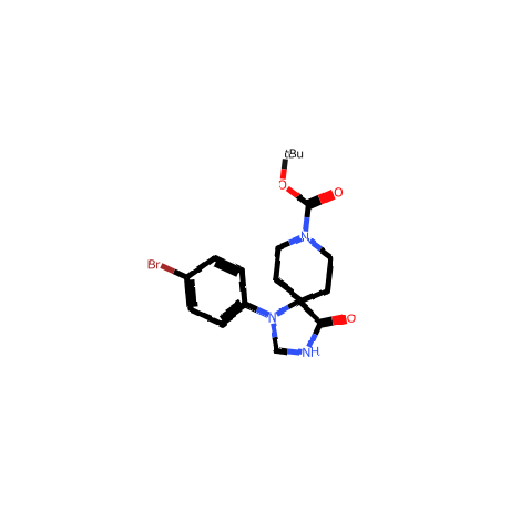 CC(C)(C)OC(=O)N1CCC2(CC1)C(=O)NCN2c1ccc(Br)cc1